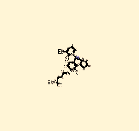 CCc1cccn(/C(=C/C2CCCC2)c2ccc(SCCCN(CC)CC)c(Cl)c2)c1=O